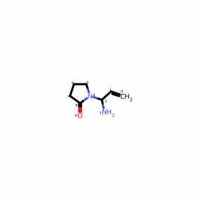 C=CC(N)N1CCCC1=O